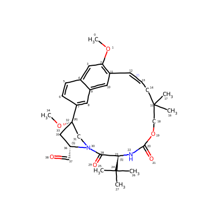 COc1cc2ccc3cc2cc1/C=C\CC(C)(C)COC(=O)N[C@@H](C(C)(C)C)C(=O)N1C[C@@]3(OC)C[C@H]1C=O